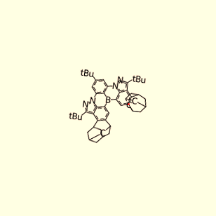 CC(C)(C)c1cc2c3c(c1)-n1nc(C(C)(C)C)c4c5c(cc(c41)B3c1cc3c(c4c(C(C)(C)C)nn-2c14)C1CC2CC(CC3C2)C1)C1CC2CC(C1)CC5C2